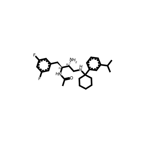 CC(=O)N[C@@H](Cc1cc(F)cc(F)c1)[C@H](N)CNC1(c2cccc(C(C)C)c2)CCCCC1